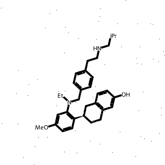 CCN(Cc1ccc(CCNCC(C)C)cc1)c1cc(OC)ccc1[C@@H]1CCc2cc(O)ccc2C1